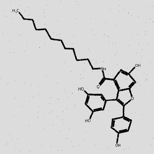 CCCCCCCCCCCCNC(=O)c1cc(O)cc2oc(-c3ccc(O)cc3)c(-c3cc(O)cc(O)c3)c12